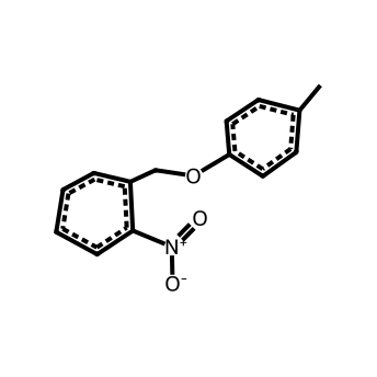 Cc1ccc(OCc2ccccc2[N+](=O)[O-])cc1